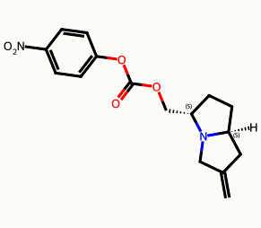 C=C1C[C@@H]2CC[C@@H](COC(=O)Oc3ccc([N+](=O)[O-])cc3)N2C1